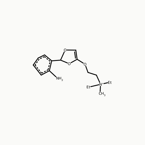 CC[N+](C)(CC)CCOC1=COC(c2ccccc2N)O1